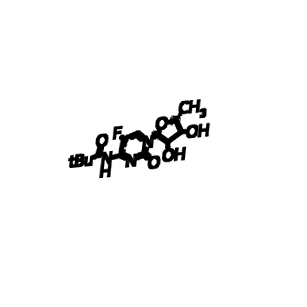 C[C@H]1O[C@@H](n2cc(F)c(NC(=O)C(C)(C)C)nc2=O)C(O)C1O